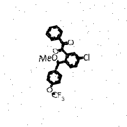 COC(c1ccc(OC(F)(F)F)cc1)c1ccc(Cl)cc1C(=O)C(=O)c1ccccc1